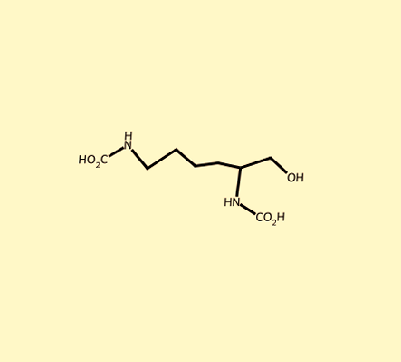 O=C(O)NCCCCC(CO)NC(=O)O